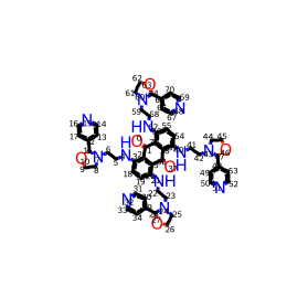 O=C1c2c(NCCN3CCOC3c3ccncc3)ccc(NCCN3CCOC3c3ccncc3)c2C(=O)c2c(NCCN3CCOC3c3ccncc3)ccc(NCCN3CCOC3c3ccncc3)c21